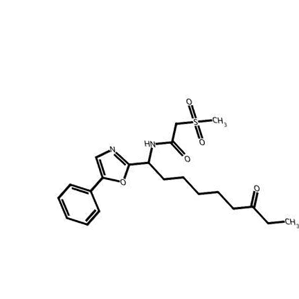 CCC(=O)CCCCCC(NC(=O)CS(C)(=O)=O)c1ncc(-c2ccccc2)o1